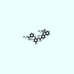 N=C(N)c1cccc(Oc2ccc(F)cc2NC(=O)c2ccc(-c3ccccc3S(N)(=O)=O)cc2)c1